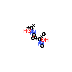 CC(C)(C)c1cc(-n2nc3ccc(CC(C)(c4ccccc4)c4cc(-n5nc6ccccc6n5)c(O)c(C(C)(C)c5ccccc5)c4)cc3n2)c(O)c(C(C)(C)C)c1